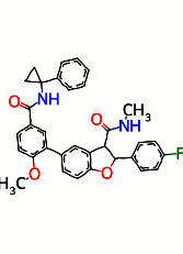 CNC(=O)C1c2cc(-c3cc(C(=O)NC4(c5ccccc5)CC4)ccc3OC)ccc2OC1c1ccc(F)cc1